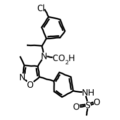 Cc1noc(-c2ccc(NS(C)(=O)=O)cc2)c1N(C(=O)O)C(C)c1cccc(Cl)c1